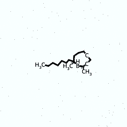 CCCCCCC[C@@]1(C)B[C@@H](C)CCCCCC1